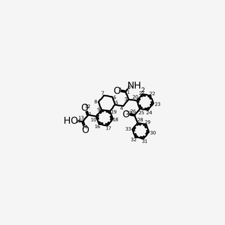 NC(=O)C(CC1CCCc2c(C(=O)C(=O)O)cccc21)c1ccccc1C(=O)c1ccccc1